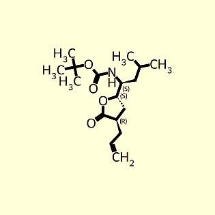 C=CC[C@@H]1C[C@@H]([C@H](CC(C)C)NC(=O)OC(C)(C)C)OC1=O